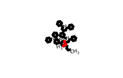 C=C/C=C\C=C(/C)c1cc(-c2ccccc2)nc(-c2cc(-c3cc(-c4ccccc4)nc(-c4ccccc4)c3)ccc2-n2c3ccccc3c3ccc4c(c5ccccc5n4-c4ccccc4)c32)n1